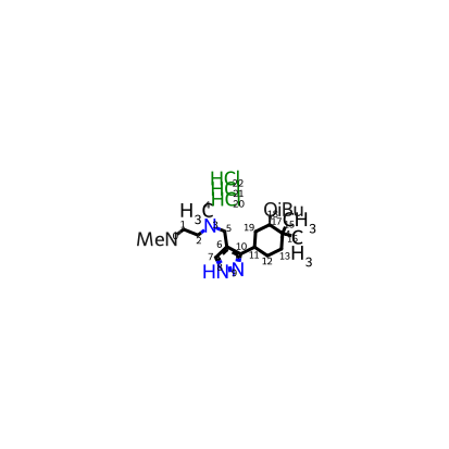 CNCCN(C)Cc1c[nH]nc1C1CCC(C)(C)[C@H](OCC(C)C)C1.Cl.Cl.Cl